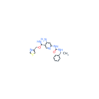 C[C@@H](NC(=O)Nc1cc(N)c(C(=N)OCc2cscn2)cn1)c1ccccc1